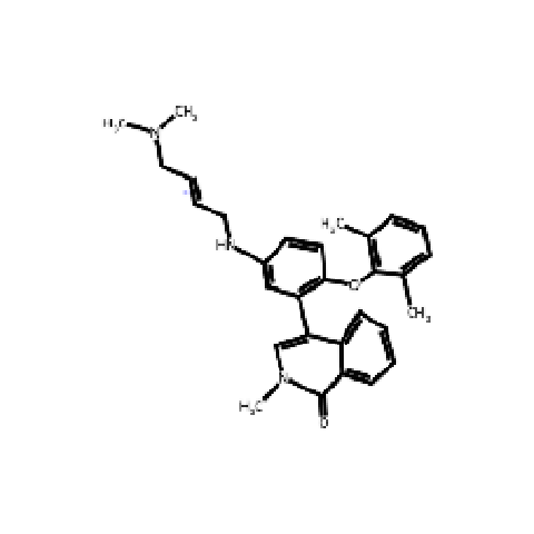 Cc1cccc(C)c1Oc1ccc(NC/C=C/CN(C)C)cc1-c1cn(C)c(=O)c2ccccc12